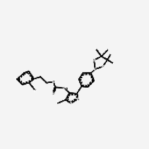 Cc1noc(-c2ccc(B3OC(C)(C)C(C)(C)O3)cc2)c1NC(=O)OCCc1ccccc1F